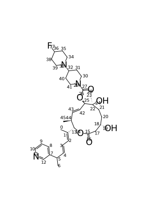 C/C(=C\C=C\C(C)c1cccnc1)[C@H]1OC(=O)C[C@@H](O)CC[C@](C)(O)[C@H](OC(=O)N2CCC(N3CCC(F)CC3)CC2)/C=C/[C@@H]1C